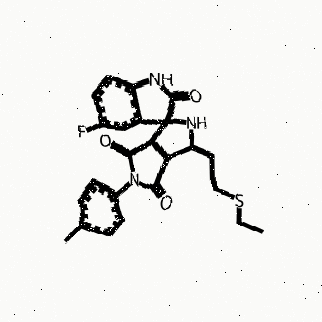 CCSCCC1NC2(C(=O)Nc3ccc(F)cc32)C2C(=O)N(c3ccc(C)cc3)C(=O)C12